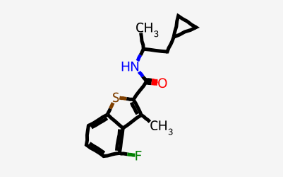 Cc1c(C(=O)NC(C)CC2CC2)sc2cccc(F)c12